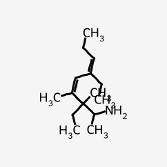 CC/C=C(\C=C(\C)C(C)(CC)C(C)N)CC